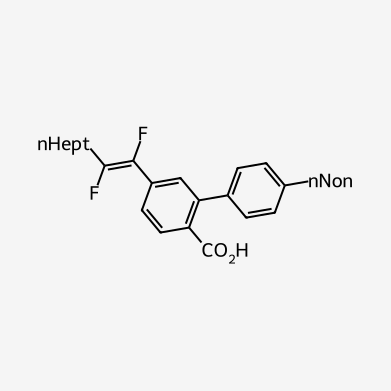 CCCCCCCCCc1ccc(-c2cc(/C(F)=C(\F)CCCCCCC)ccc2C(=O)O)cc1